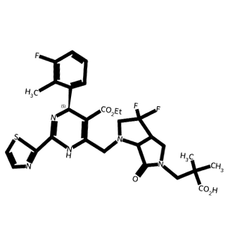 CCOC(=O)C1=C(CN2CC(F)(F)C3CN(CC(C)(C)C(=O)O)C(=O)C32)NC(c2nccs2)=N[C@H]1c1cccc(F)c1C